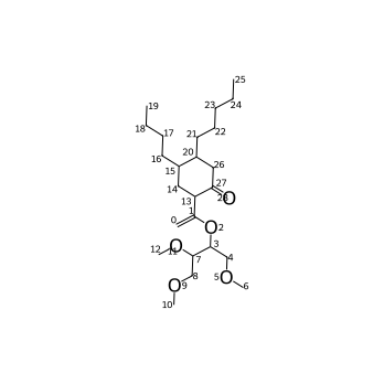 C=C(OC(COC)C(COC)OC)C1CC(CCCC)C(CCCCC)CC1=O